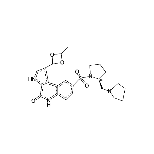 CC1OC(c2c[nH]c3c(=O)[nH]c4ccc(S(=O)(=O)N5CCC[C@H]5CN5CCCC5)cc4c23)O1